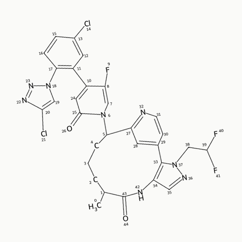 CC1CCCC(n2cc(F)c(-c3cc(Cl)ccc3-n3cc(Cl)nn3)cc2=O)c2cc(ccn2)-c2c(cnn2CC(F)F)NC1=O